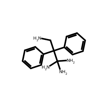 NCC(c1ccccc1)(c1ccccc1)C(N)(N)N